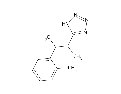 Cc1ccccc1C(C)C(C)c1nnn[nH]1